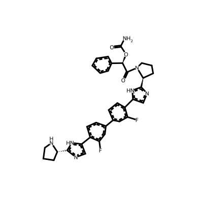 NC(=O)O[C@@H](C(=O)N1CCC[C@H]1c1ncc(-c2ccc(-c3ccc(-c4cnc([C@@H]5CCCN5)[nH]4)c(F)c3)cc2F)[nH]1)c1ccccc1